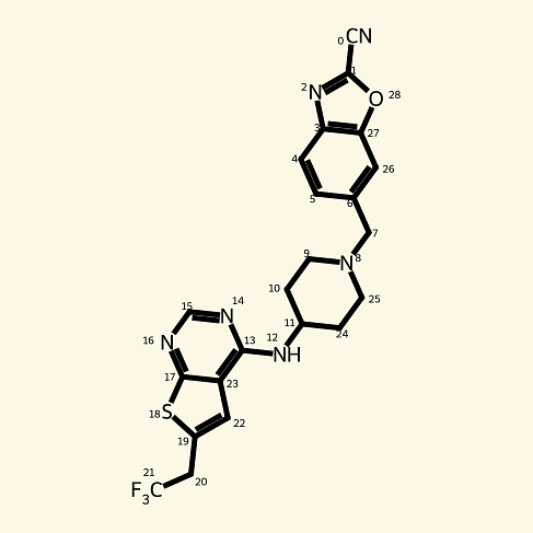 N#Cc1nc2ccc(CN3CCC(Nc4ncnc5sc(CC(F)(F)F)cc45)CC3)cc2o1